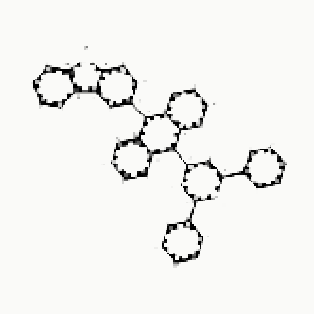 c1ccc(-c2cc(-c3c4ccccc4c(-c4ccc5oc6ccccc6c5c4)c4ccccc34)cc(-c3ccccc3)n2)cc1